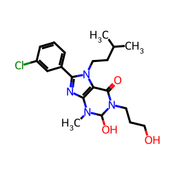 CC(C)CCn1c(-c2cccc(Cl)c2)nc2c1C(=O)N(CCCO)C(O)N2C